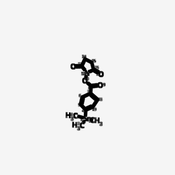 [CH3][Sn]([CH3])([CH3])[c]1ccc(C(=O)ON2C(=O)CCC2=O)cc1